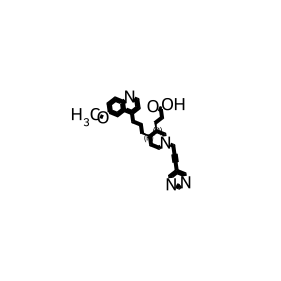 COc1ccc2nccc(CCC[C@@H]3CCN(CC#Cc4cncnc4)C[C@@H]3CCC(=O)O)c2c1